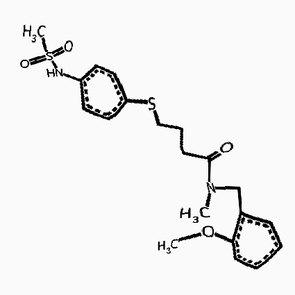 COc1ccccc1CN(C)C(=O)CCCSc1ccc(NS(C)(=O)=O)cc1